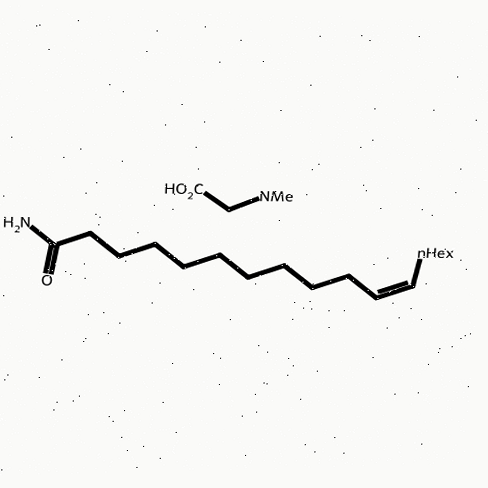 CCCCCC/C=C\CCCCCCCCCC(N)=O.CNCC(=O)O